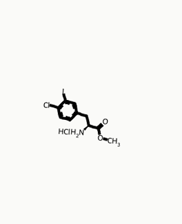 COC(=O)[C@@H](N)Cc1ccc(Cl)c(I)c1.Cl